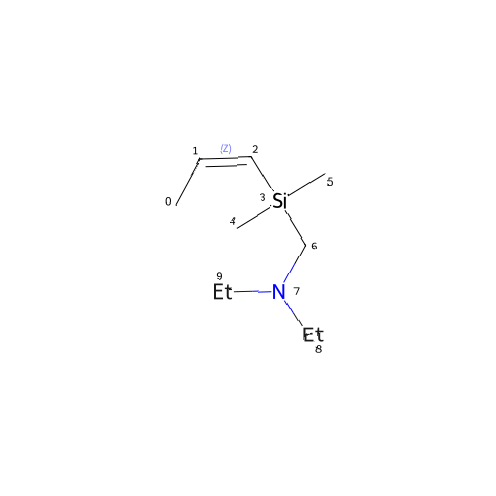 C/C=C\[Si](C)(C)CN(CC)CC